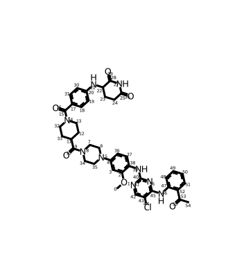 COc1cc(N2CCN(C(=O)C3CCN(C(=O)c4ccc(NC5CCC(=O)NC5=O)cc4)CC3)CC2)ccc1Nc1ncc(Cl)c(Nc2ccccc2C(C)=O)n1